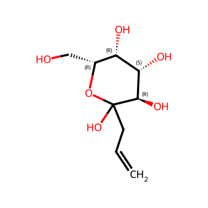 C=CCC1(O)O[C@H](CO)[C@H](O)[C@H](O)[C@H]1O